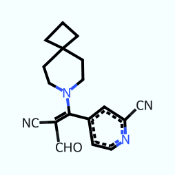 N#C/C(C=O)=C(/c1ccnc(C#N)c1)N1CCC2(CCC2)CC1